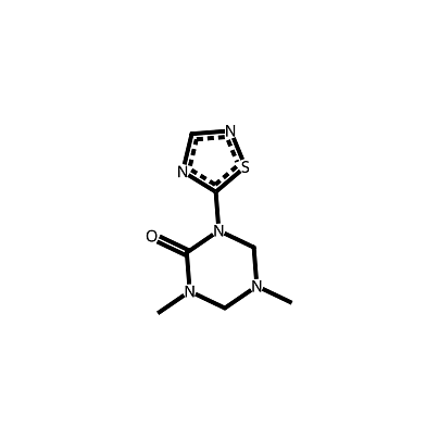 CN1CN(C)C(=O)N(c2ncns2)C1